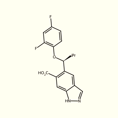 CC(C)[C@H](Oc1ccc(F)cc1F)c1cc2cn[nH]c2cc1C(=O)O